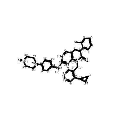 Cc1ccccc1-c1cc2cnc(Nc3ccc(N4CCNCC4)cc3)nc2n(Cc2cnncc2C2CC2)c1=O